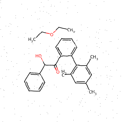 CCOCC.Cc1cc(C)c(-c2ccccc2C(=O)C(O)c2ccccc2)c(C)c1